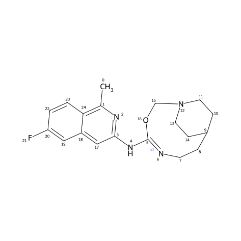 Cc1nc(N/C2=N/CCC3CCN(CC3)CO2)cc2cc(F)ccc12